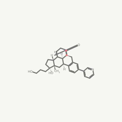 C[C@]12C[C@@H]3c4ccc(-c5cccnc5)cc4C[C@]45CCC(=O)C=C4CC[C@H]([C@H]35)[C@H]1CC[C@]2(O)CCCO